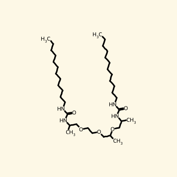 CCCCCCCCCCCCNC(=O)NC(C)COCCOCC(C)OCC(C)NC(=O)NCCCCCCCCCCCC